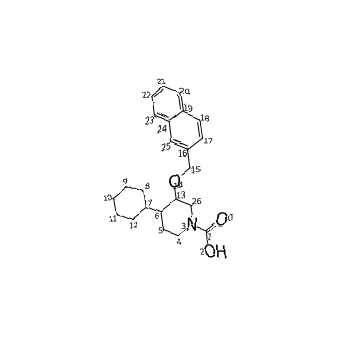 O=C(O)N1CCC(C2CCCCC2)C(OCc2ccc3ccccc3c2)C1